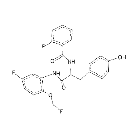 O=C(NC(Cc1ccc(O)cc1)C(=O)Nc1cc(F)ccc1OCF)c1ccccc1F